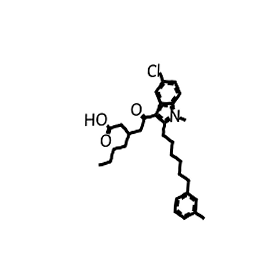 CCCCC(CC(=O)O)CC(=O)c1c(CCCCCCc2cccc(C)c2)n(C)c2ccc(Cl)cc12